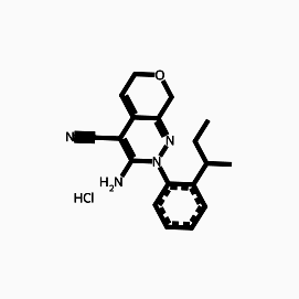 CCC(C)c1ccccc1N1N=C2COCC=C2C(C#N)=C1N.Cl